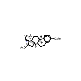 C/C=C1/[C@H](OC(C)=O)C[C@H]2[C@@H]3CCc4cc(OC)ccc4[C@H]3CC[C@]12C